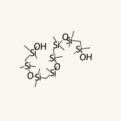 C[Si](C)(O)C[Si](C)(C)O[Si](C)(C)C[Si](C)(C)O[Si](C)(C)C[Si](C)(C)O[Si](C)(C)C[Si](C)(C)O